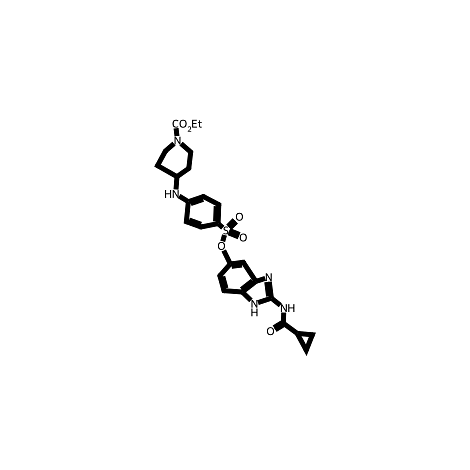 CCOC(=O)N1CCC(Nc2ccc(S(=O)(=O)Oc3ccc4[nH]c(NC(=O)C5CC5)nc4c3)cc2)CC1